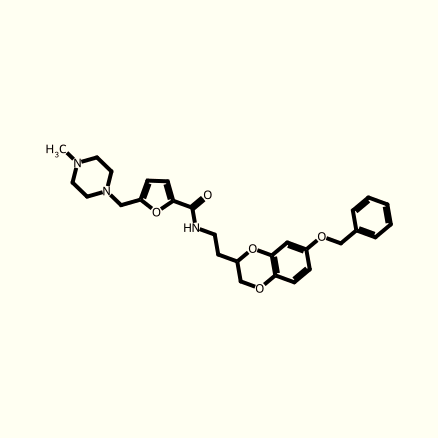 CN1CCN(Cc2ccc(C(=O)NCCC3COc4ccc(OCc5ccccc5)cc4O3)o2)CC1